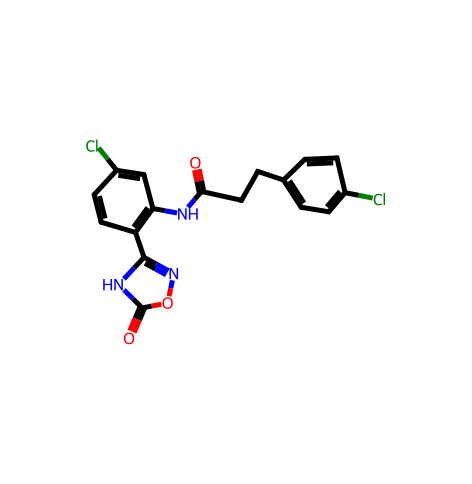 O=C(CCc1ccc(Cl)cc1)Nc1cc(Cl)ccc1-c1noc(=O)[nH]1